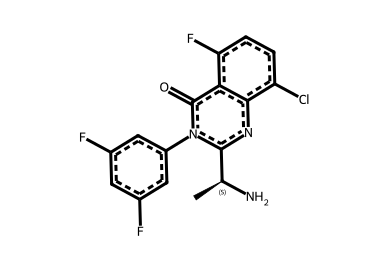 C[C@H](N)c1nc2c(Cl)ccc(F)c2c(=O)n1-c1cc(F)cc(F)c1